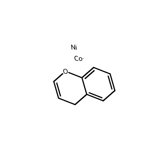 C1=COc2ccccc2C1.[Co].[Ni]